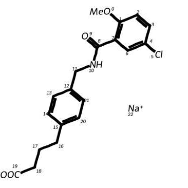 COc1ccc(Cl)cc1C(=O)NCc1ccc(CCCC(=O)[O-])cc1.[Na+]